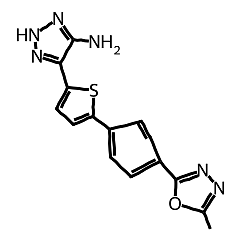 Cc1nnc(-c2ccc(-c3ccc(-c4n[nH]nc4N)s3)cc2)o1